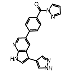 O=C(c1ccc(-c2cnc3[nH]cc(-c4cn[nH]c4)c3c2)cc1)n1cccn1